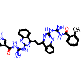 Cc1ccccc1C(=O)NC(=N)Nc1nc(CCc2nc(NC(=N)NC(=O)c3cc[nH]c3)nc3ccccc23)c2ccccc2n1